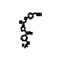 CC(=O)N(c1cccc(OC(F)(F)F)c1)C1CCN(C(=O)COc2ccc(CO)cc2)C1